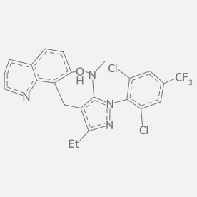 CCc1nn(-c2c(Cl)cc(C(F)(F)F)cc2Cl)c(N(C)C)c1Cc1c(O)ccc2cccnc12